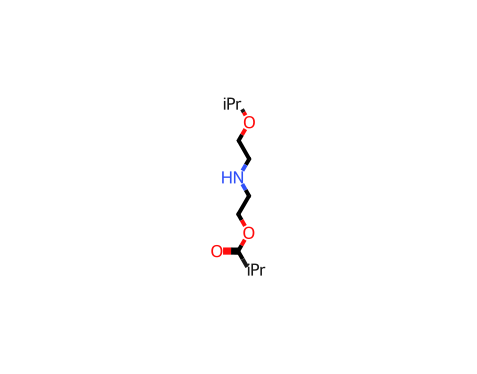 CC(C)OCCNCCOC(=O)C(C)C